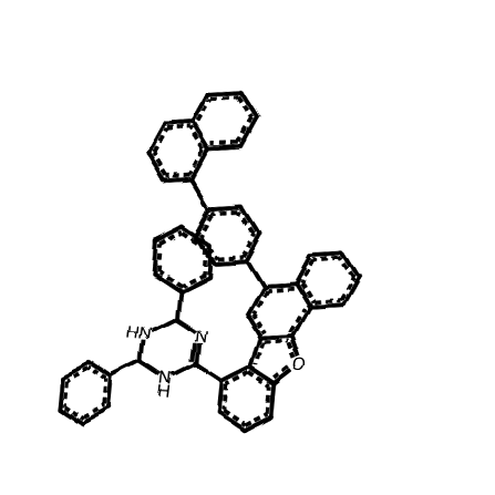 c1ccc(C2N=C(c3cccc4oc5c6ccccc6c(-c6ccc(-c7cccc8ccccc78)cc6)cc5c34)NC(c3ccccc3)N2)cc1